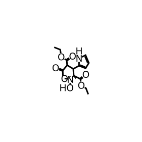 CCOC(=O)C(C(c1ccc[nH]1)C(C(C)=O)C(=O)OCC)=[N+]([O-])O